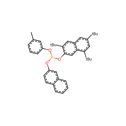 Cc1cccc(OP(Oc2ccc3ccccc3c2)Oc2cc3c(C(C)(C)C)cc(C(C)(C)C)cc3cc2C(C)(C)C)c1